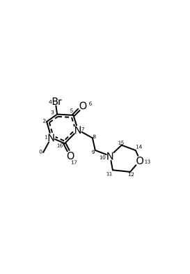 Cn1cc(Br)c(=O)n(CCN2CCOCC2)c1=O